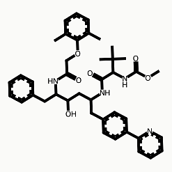 COC(=O)NC(C(=O)NC(Cc1ccc(-c2ccccn2)cc1)CC(O)C(Cc1ccccc1)NC(=O)COc1c(C)cccc1C)C(C)(C)C